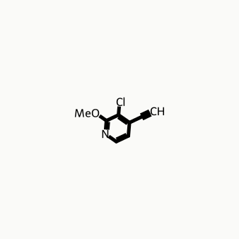 C#Cc1ccnc(OC)c1Cl